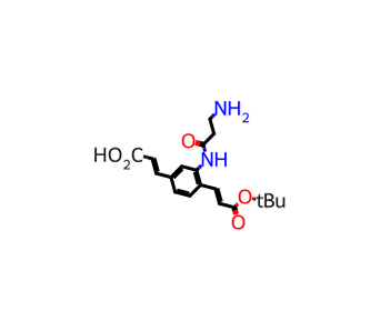 CC(C)(C)OC(=O)C=Cc1ccc(C=CC(=O)O)cc1NC(=O)CCN